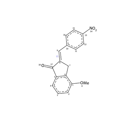 COc1cccc2c1C/C(=C\c1ccc([N+](=O)[O-])cc1)C2=O